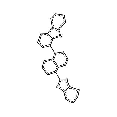 c1ccc2oc(-c3cccc4c(-c5cccc6c5sc5ccccc56)cccc34)nc2c1